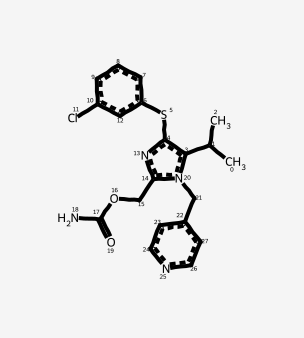 CC(C)c1c(Sc2cccc(Cl)c2)nc(COC(N)=O)n1Cc1ccncc1